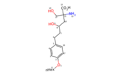 CCCCCCOc1ccc(CCC(O)CC(N)(CO)C(=O)O)cc1